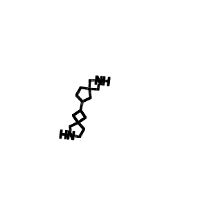 C1CC2(CN1)CC(C1CCC3(CNC3)C1)C2